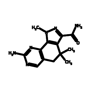 Cn1nc(C(N)=O)c2c1-c1nc(N)ncc1CC2(C)C